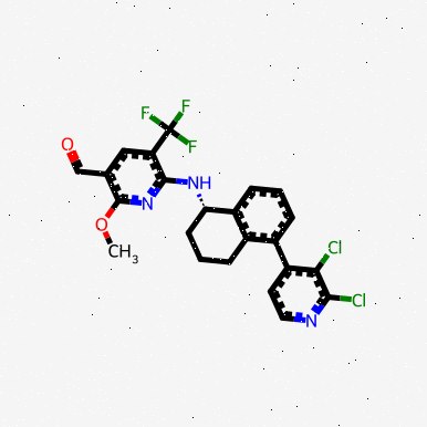 COc1nc(N[C@H]2CCCc3c(-c4ccnc(Cl)c4Cl)cccc32)c(C(F)(F)F)cc1C=O